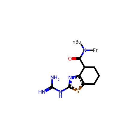 CCCCN(CC)C(=O)C1CCCc2sc(NC(=N)N)nc21